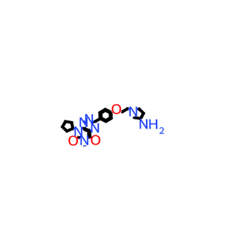 Cn1c(=O)c2nc(-c3ccc(OCCN4CCC(N)C4)cc3)nnc2n(C2CCCC2)c1=O